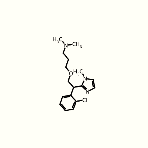 CN(C)CCCOCC(c1ccccc1Cl)c1nccn1C